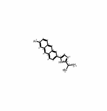 CC(=O)c1ccc2cc3cc(-c4cnc(C(N)C(C)(C)C)[nH]4)ccc3cc2c1